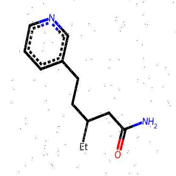 CC[C](CCc1cccnc1)CC(N)=O